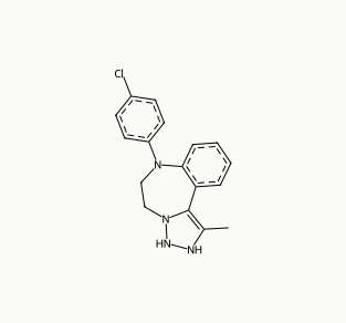 CC1=C2c3ccccc3N(c3ccc(Cl)cc3)CCN2NN1